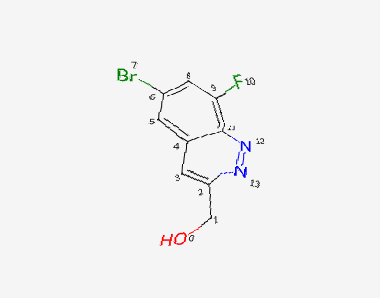 OCc1cc2cc(Br)cc(F)c2nn1